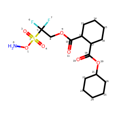 NOS(=O)(=O)C(F)(F)COC(=O)C1CCCCC1C(=O)OC1CCCCC1